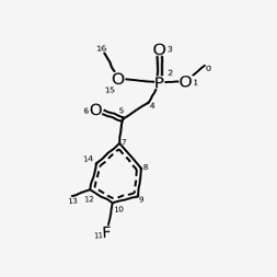 COP(=O)(CC(=O)c1ccc(F)c(C)c1)OC